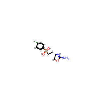 NC1=N[C@@H](CCS(=O)(=O)c2ccc(F)cc2)CO1